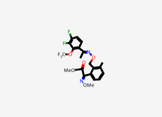 CO/N=C(/C(=O)OC)c1cccc(C)c1CO/N=C(\C)c1ccc(F)c(F)c1OC(F)(F)F